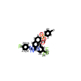 Cc1ccc(S(=O)(=O)[C@H]2CCC3=Cc4c(cnn4-c4ccc(F)cc4)C[C@]3(C(=O)c3cc(C(F)(F)F)ccn3)C2)cc1